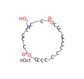 CCCCCCCCC1CCCCCCCCCCCCCCCCCOC(=O)CCCCCN(CCO)CCCCCCCC(=O)O1